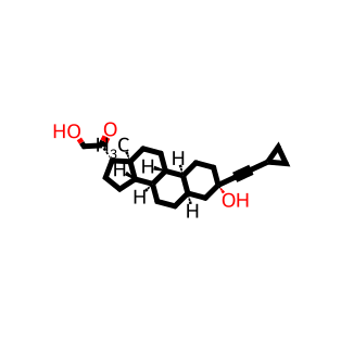 C[C@]12CC[C@H]3[C@@H](CC[C@@H]4C[C@](O)(C#CC5CC5)CC[C@@H]43)[C@@H]1CC[C@@H]2C(=O)CO